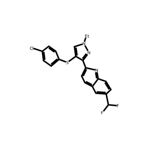 CCn1cc(Sc2ccc(Cl)cc2)c(-c2ccc3cc(C(F)F)ccc3n2)n1